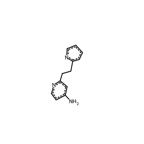 Nc1ccnc(CCc2ccccn2)c1